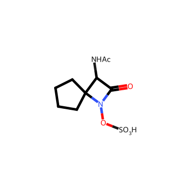 CC(=O)NC1C(=O)N(OS(=O)(=O)O)C12CCCC2